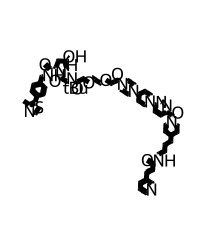 Cc1ncsc1-c1ccc(CNC(=O)[C@@H]2C[C@@H](O)CN2C(=O)[C@@H](NC(=O)COCCOCC(=O)N2CCN(C3CCN(c4ccc(C(=O)N5CCC(CCCCNC(=O)/C=C/c6cccnc6)CC5)nn4)CC3)CC2)C(C)(C)C)cc1